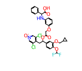 O=C(COc1cccc(NC(C(=O)O)c2ccccc2)c1)OC(Cc1c(Cl)c[n+]([O-])cc1Cl)c1ccc(OC(F)F)c(OCC2CC2)c1